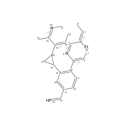 C\C=C(/C=N\C(=C/C)c1ccc(C=P)cc1C1CC1C(=C/C)/C(C)=N\C)CC